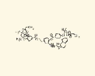 C=CC(=O)OC(C)(C)COc1ccc(C(=O)Oc2ccc(CCOC(=O)c3ccc(OC(C)(C)CC(C)(C)OC(=O)C=C)cc3)cc2/C=N/Nc2nc3c(ccc4ccccc43)s2)cc1